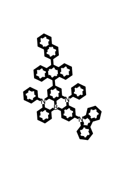 c1ccc(N2c3ccccc3B3c4ccc(-n5c6ccccc6c6ccccc65)cc4N(c4ccccc4)c4cc(-c5c6ccccc6c(-c6ccc7ccccc7c6)c6ccccc56)cc2c43)cc1